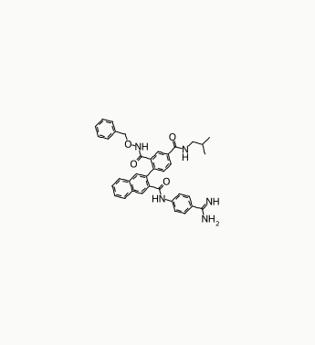 CC(C)CNC(=O)c1ccc(-c2cc3ccccc3cc2C(=O)Nc2ccc(C(=N)N)cc2)c(C(=O)NOCc2ccccc2)c1